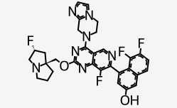 Oc1cc(-c2ncc3c(N4CCn5ccnc5C4)nc(OC[C@@]45CCCN4C[C@H](F)C5)nc3c2F)c2c(F)c(F)ccc2c1